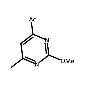 COc1nc(C)cc(C(C)=O)n1